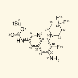 CC(C)(C)OC(=O)Nc1cnc2c(N3CCC(F)(F)CC3)c(F)c(N)cc2c1